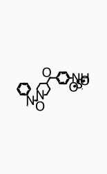 CN(C(=O)N1CCC(C(=O)c2ccc(NS(C)(=O)=O)cc2)CC1)c1ccccc1